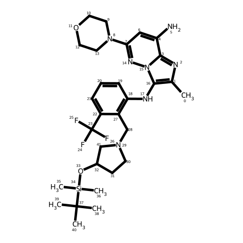 Cc1nc2c(N)cc(N3CCOCC3)nn2c1Nc1cccc(C(F)(F)F)c1CN1CCC(O[Si](C)(C)C(C)(C)C)C1